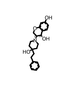 Oc1ccc2c(c1)OC[C@H](N1CCC(O)(CCc3ccccc3)CC1)[C@@H]2O